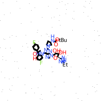 CCn1nnc([C@H]2O[C@@H](n3cnc4c(NCC(O)(c5ccc(F)cc5)c5ccc(F)cc5)nc(N5CC[C@@H](NC(=O)OC(C)(C)C)C5)nc43)[C@H](O)[C@@H]2O)n1